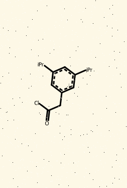 CC(C)c1cc(CC(=O)Cl)cc(C(C)C)c1